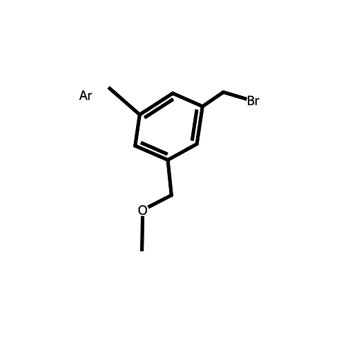 COCc1cc(C)cc(CBr)c1.[Ar]